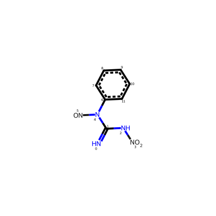 N=C(N[N+](=O)[O-])N(N=O)c1ccccc1